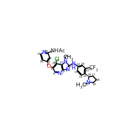 CC(=O)Nc1cc(Oc2cnc3nc(Nc4ccc([C@H]5CCCN5C)c(C(F)(F)F)c4)n(C)c3c2Cl)ccn1